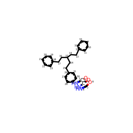 N=C=O.N=C=O.N=C=O.c1ccc(CCC(CCc2ccccc2)CCc2ccccc2)cc1